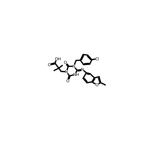 Cc1cc2cc(/N=c3\[nH]c(=O)n(CC(C)(C)C(=O)O)c(=O)n3Cc3ccc(Cl)cc3)ccc2o1